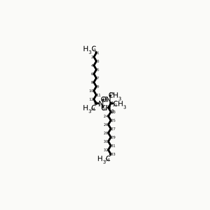 CCCCCCCCCCCCCC(C)N(C)ON(C)C(C)CCCCCCCCCCCCC